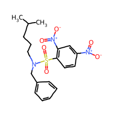 CC(C)CCCN(Cc1ccccc1)S(=O)(=O)c1ccc([N+](=O)[O-])cc1[N+](=O)[O-]